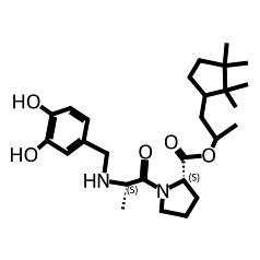 CC(CC1CCC(C)(C)C1(C)C)OC(=O)[C@@H]1CCCN1C(=O)[C@H](C)NCc1ccc(O)c(O)c1